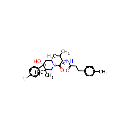 Cc1ccc(CCC(=O)N[C@@H](C(=O)N2CC[C@](O)(c3ccc(Cl)cc3)C(C)(C)C2)C(C)C)cc1